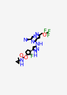 CC1(NC(=O)O[C@H]2CC[C@@H](c3cc(Nc4nc(C#N)cn5nc(COC(F)(F)F)cc45)n[nH]3)[C@@H]2F)CC1